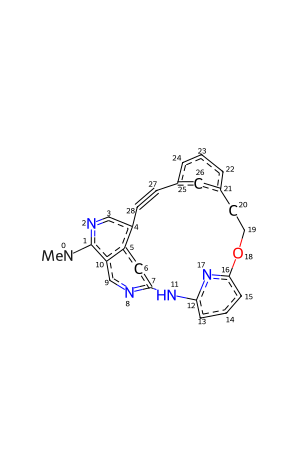 CNc1ncc2c3cc(ncc13)Nc1cccc(n1)OCCc1cccc(c1)C#C2